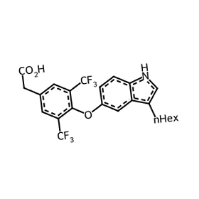 CCCCCCc1c[nH]c2ccc(Oc3c(C(F)(F)F)cc(CC(=O)O)cc3C(F)(F)F)cc12